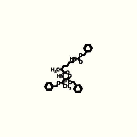 C[C@@H](CCCCNC(=O)OCc1ccccc1)C(=O)N[C@H](C(=O)OCc1ccccc1)[C@@H](C)OCc1ccccc1